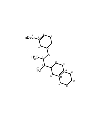 CCCCCCCCCCC1=CCCC(CC(C)C(O)C2CCC3=C(CCCC3)C2)C1